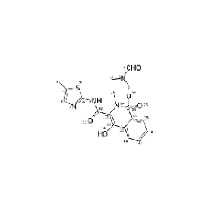 CN(C)C=O.Cc1cnc(NC(=O)C2=C(O)c3ccccc3S(=O)(=O)N2C)s1